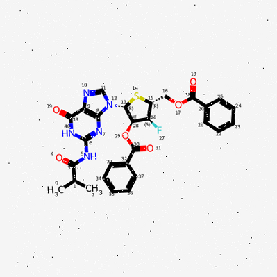 CC(C)C(=O)Nc1nc2c(ncn2[C@@H]2S[C@H](COC(=O)c3ccccc3)[C@@H](F)[C@H]2OC(=O)c2ccccc2)c(=O)[nH]1